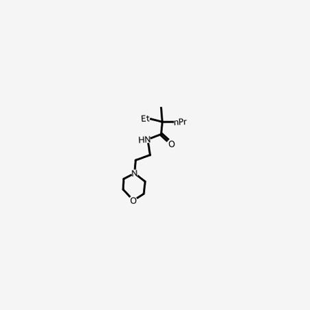 CCCC(C)(CC)C(=O)NCCN1CCOCC1